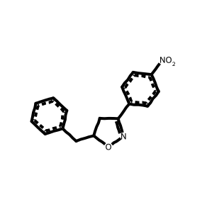 O=[N+]([O-])c1ccc(C2=NOC(Cc3ccccc3)C2)cc1